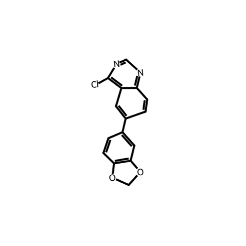 Clc1ncnc2ccc(-c3ccc4c(c3)OCO4)cc12